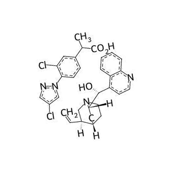 C=C[C@H]1CN2CC[C@H]1C[C@H]2[C@H](O)c1ccnc2ccccc12.CC(C(=O)O)c1ccc(-n2cc(Cl)cn2)c(Cl)c1